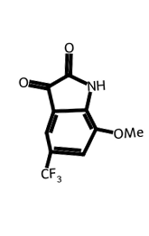 COc1cc(C(F)(F)F)cc2c1NC(=O)C2=O